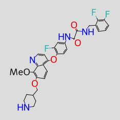 COc1c(OCC2CCNCC2)ccc2c(Oc3ccc(NC(=O)C(=O)NCc4cccc(F)c4F)cc3F)ccnc12